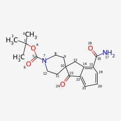 CC(C)(C)OC(=O)N1CCC2(CC1)Cc1c(C(N)=O)cccc1C2=O